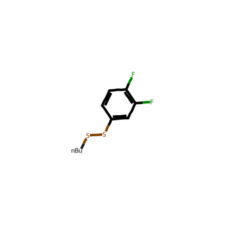 CCCCSSc1ccc(F)c(F)c1